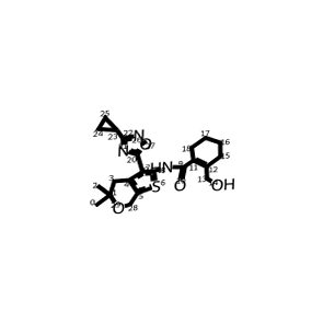 CC1(C)Cc2c(sc(NC(=O)C3=C(CO)CCCC3)c2-c2nc(C3CC3)no2)CO1